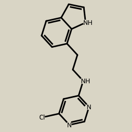 Clc1cc(NCCc2cccc3cc[nH]c23)ncn1